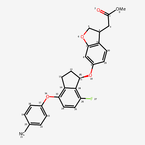 COC(=O)CC1COc2cc(O[C@@H]3CCc4c(Oc5ccc(C#N)cc5)ccc(F)c43)ccc21